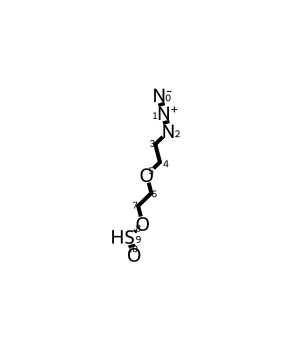 [N-]=[N+]=NCCOCCO[SH]=O